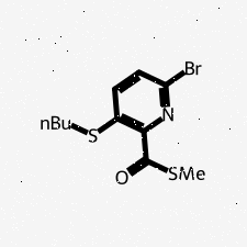 CCCCSc1ccc(Br)nc1C(=O)SC